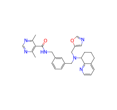 Cc1ncnc(C)c1C(=O)NCc1cccc(CN(Cc2cnco2)C2CCCc3cccnc32)c1